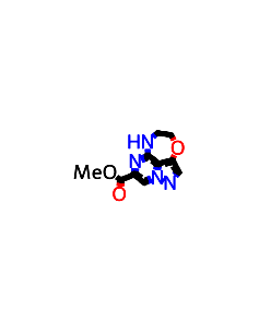 COC(=O)c1cn2ncc3c2c(n1)NCCO3